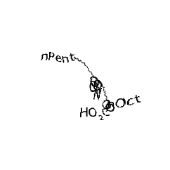 CCCCCC=CCC=CCCCCCCCCC(CCCCCCCCCCCC(CCCCCCCC)OC(=O)CCC(=O)O)OC(=O)OCCCN(C)C